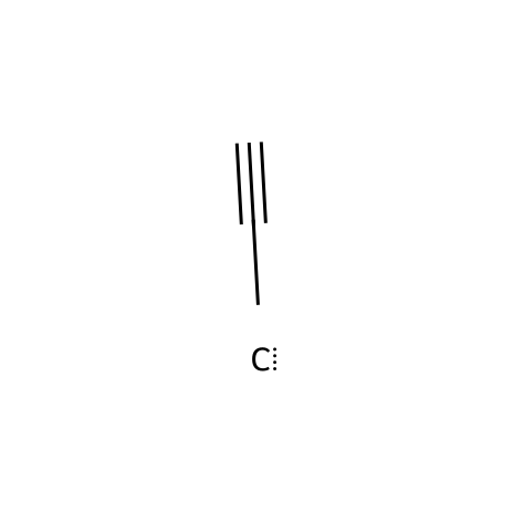 C#CC.[C]